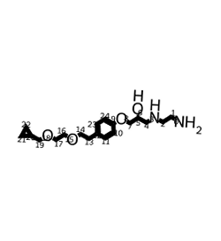 NCCNC[C@H](O)COc1ccc(CCOCCOCC2CC2)cc1